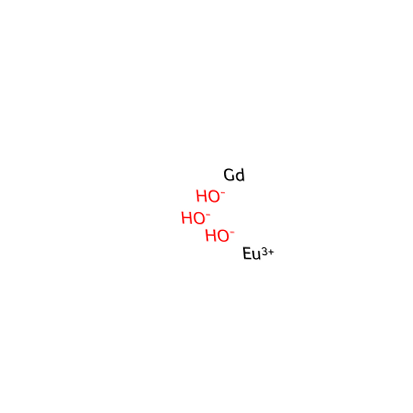 [Eu+3].[Gd].[OH-].[OH-].[OH-]